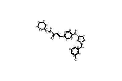 O=C(/C=C/c1cnc(N[C@@H]2CCN(Cc3cccc(Cl)c3)C2)cn1)NOC1CCCCO1